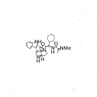 CN[C@@H](C)C(=O)N[C@H](C(=O)N1CC[C@H]2NC[C@H](c3c[nH]c4ccccc34)[C@H]21)C1CCCCC1